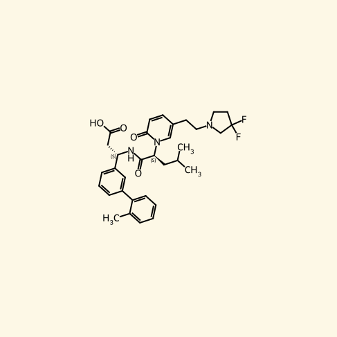 Cc1ccccc1-c1cccc([C@H](CC(=O)O)NC(=O)[C@H](CC(C)C)n2cc(CCN3CCC(F)(F)C3)ccc2=O)c1